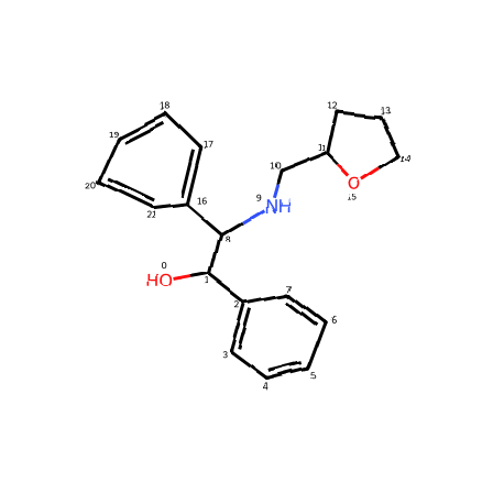 OC(c1ccccc1)C(NCC1CCCO1)c1ccccc1